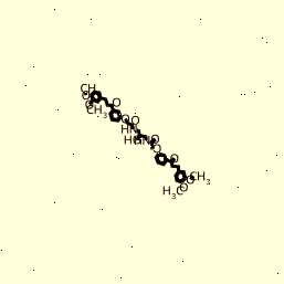 COc1ccc(CCC(=O)c2cccc(OCC(=O)NCC(O)CNC(=O)COc3cccc(C(=O)CCc4ccc(OC)c(OC)c4)c3)c2)cc1OC